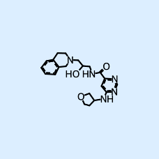 O=C(NCC(O)CN1CCc2ccccc2C1)c1cc(NC2CCOC2)ncn1